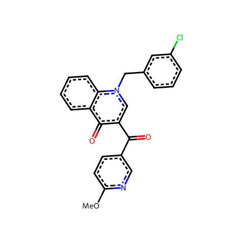 COc1ccc(C(=O)c2cn(Cc3cccc(Cl)c3)c3ccccc3c2=O)cn1